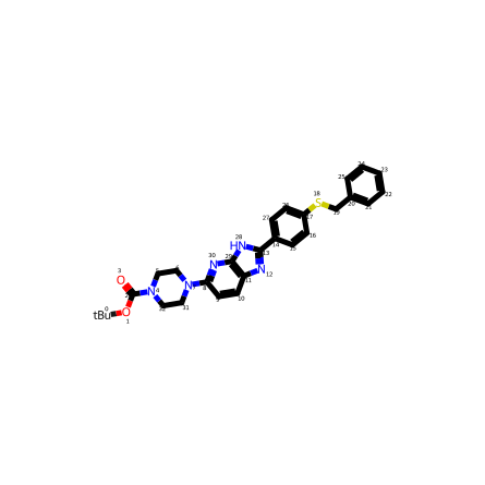 CC(C)(C)OC(=O)N1CCN(c2ccc3nc(-c4ccc(SCc5ccccc5)cc4)[nH]c3n2)CC1